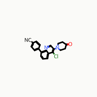 N#Cc1ccc(-c2cccc3c(Cl)c(N4CCC(=O)CC4)cnc23)cc1